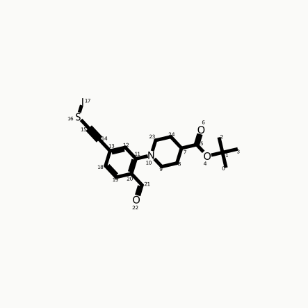 CC(C)(C)OC(=O)C1CCN(c2cc(C#CSI)ccc2C=O)CC1